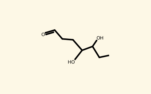 CCC(O)C(O)CCC=O